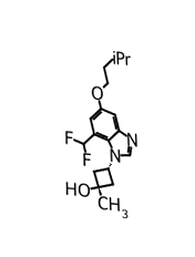 CC(C)CCOc1cc(C(F)F)c2c(c1)ncn2[C@H]1C[C@@](C)(O)C1